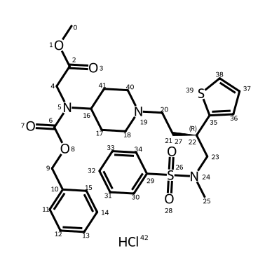 COC(=O)CN(C(=O)OCc1ccccc1)C1CCN(CC[C@H](CN(C)S(=O)(=O)c2ccccc2)c2cccs2)CC1.Cl